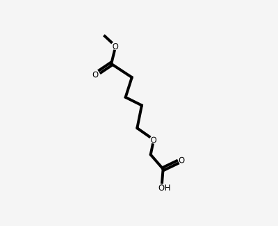 COC(=O)CCCCOCC(=O)O